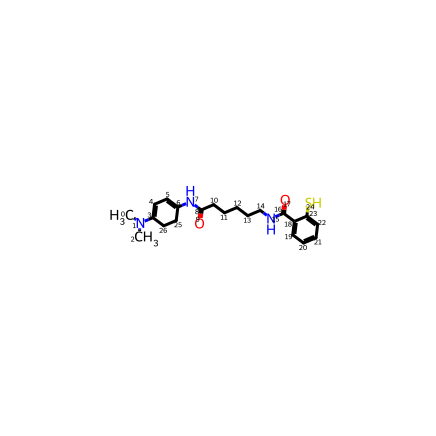 CN(C)C1=CC=C(NC(=O)CCCCCNC(=O)c2ccccc2S)CC1